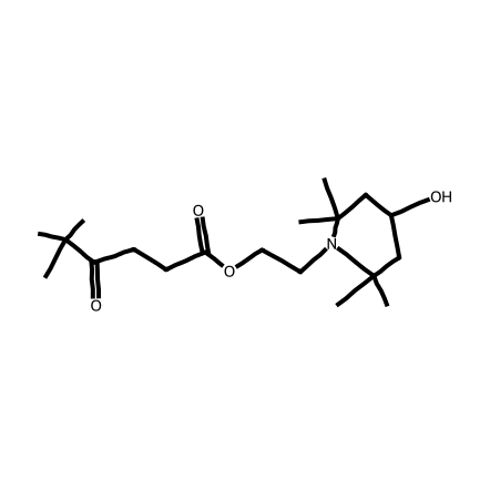 CC(C)(C)C(=O)CCC(=O)OCCN1C(C)(C)CC(O)CC1(C)C